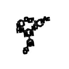 CC(=O)N1CCC2(CC1)CN(c1cc(Nc3cc(OC(F)(F)F)ccn3)nc(-c3cnn(C4COC4)c3)n1)C2